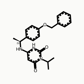 CC(C)n1c(=O)cc(N[C@@H](C)c2ccc(OCc3ccccc3)cc2)[nH]c1=O